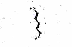 CCCCC=C/C=C/O